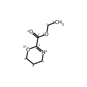 CCOC(=O)C1=NCCCO1